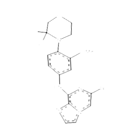 COc1cc(Nc2nc(Br)cn3ccnc23)ccc1N1CCOCC1(C)C